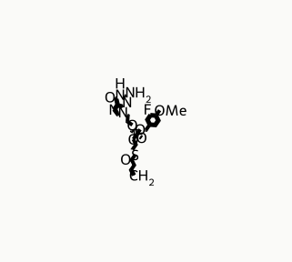 C=CCC(=O)SCCOP(=O)(COCCn1cnc2c(=O)[nH]c(N)nc21)OCc1ccc(OC)c(F)c1